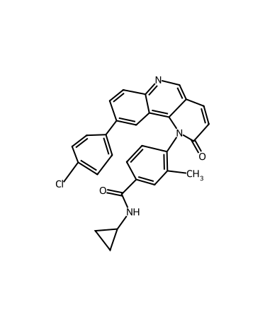 Cc1cc(C(=O)NC2CC2)ccc1-n1c(=O)ccc2cnc3ccc(-c4ccc(Cl)cc4)cc3c21